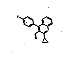 C=Cc1c(C2CC2)nc2ccccc2c1-c1ccc(F)cc1